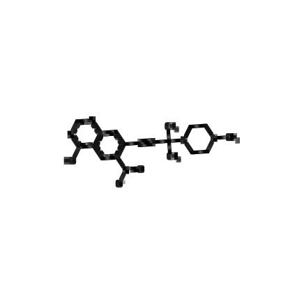 CN1CCN(C(C)(C)C#Cc2cc3ncnc(O)c3cc2[N+](=O)[O-])CC1